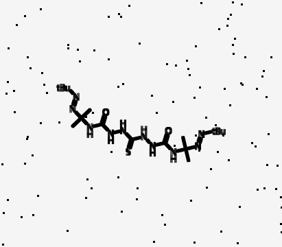 CC(C)(C)N=NC(C)(C)NC(=O)NNC(=S)NNC(=O)NC(C)(C)N=NC(C)(C)C